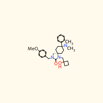 COc1ccc(CN2C[C@]3(CC[C@](c4ccccc4)(N(C)C)CC3)N(CC3(O)CCC3)C2=O)cc1